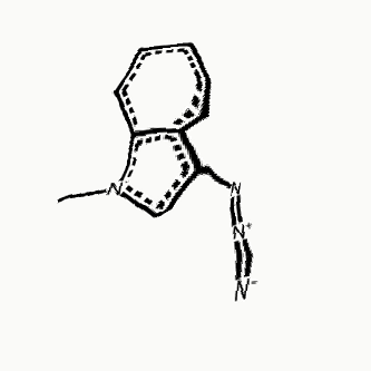 Cn1cc(N=[N+]=[N-])c2ccccc21